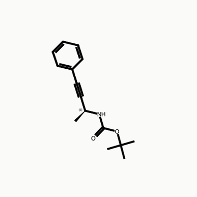 C[C@@H](C#Cc1ccccc1)NC(=O)OC(C)(C)C